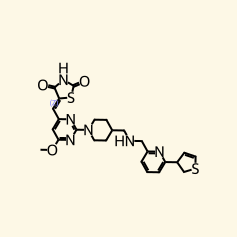 COc1cc(/C=C2\SC(=O)NC2=O)nc(N2CCC(CNCc3cccc(C4C=CSC4)n3)CC2)n1